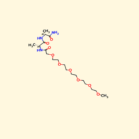 COCCOCCOCCOCCOCCOCC(=O)N[C@H](C)C(=O)N[C@H](C)C(N)=O